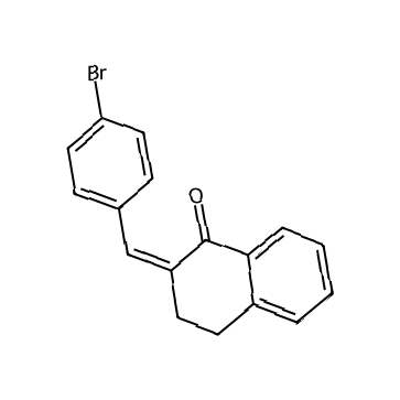 O=C1C(=Cc2ccc(Br)cc2)CCc2ccccc21